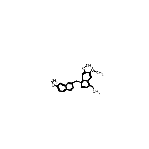 CCc1ccc(Cc2ccc3ccc(OC)cc3c2)c2cc(OC)c(OC)cc12